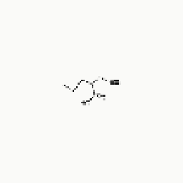 C#CCC(CCC)C(=O)O